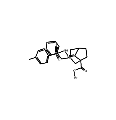 Cc1ccc(S(=O)(=O)NN=C2C3CCC2(C(=O)OC(C)C)CN(Cc2ccccc2)C3)cc1